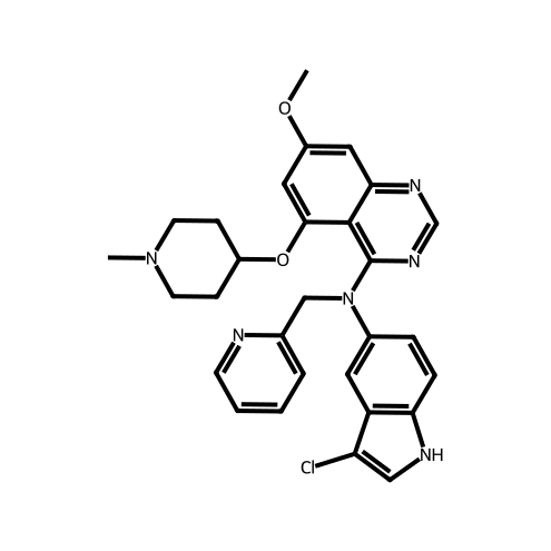 COc1cc(OC2CCN(C)CC2)c2c(N(Cc3ccccn3)c3ccc4[nH]cc(Cl)c4c3)ncnc2c1